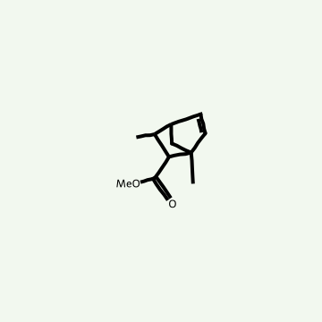 COC(=O)C1C(C)C2C=CC1(C)C2